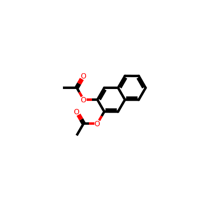 CC(=O)Oc1cc2ccccc2cc1OC(C)=O